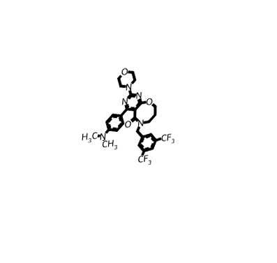 CN(C)c1ccc(-c2nc(N3CCOCC3)nc3c2C(=O)N(Cc2cc(C(F)(F)F)cc(C(F)(F)F)c2)CCCO3)cc1